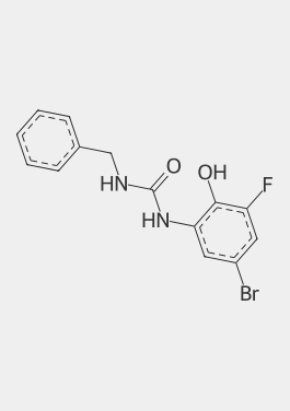 O=C(NCc1ccccc1)Nc1cc(Br)cc(F)c1O